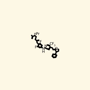 C=C(CCC(CCC)C(=C)C)Cc1c(F)cc(NC2=NC=C(C(F)(F)F)C(C/C=C3\OCCC3c3ccccc3)=C=C2)cc1F